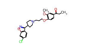 CCC(=O)c1ccc(OCCCN2CCC(c3noc4cc(Cl)ccc34)CC2)c(OC)c1